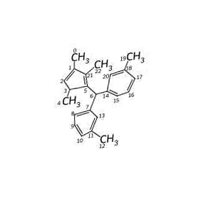 CC1=CC(C)C(C(c2cccc(C)c2)c2cccc(C)c2)=C1C